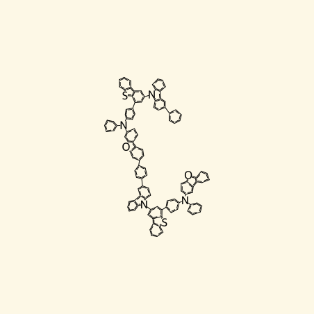 c1ccc(-c2ccc3c(c2)c2ccccc2n3-c2cc(-c3ccc(N(c4ccccc4)c4ccc5c(c4)oc4cc(-c6ccc(-c7ccc8c(c7)c7ccccc7n8-c7cc(-c8ccc(N(c9ccccc9)c9ccc%10oc%11ccccc%11c%10c9)cc8)c8sc9ccccc9c8c7)cc6)ccc45)cc3)c3sc4ccccc4c3c2)cc1